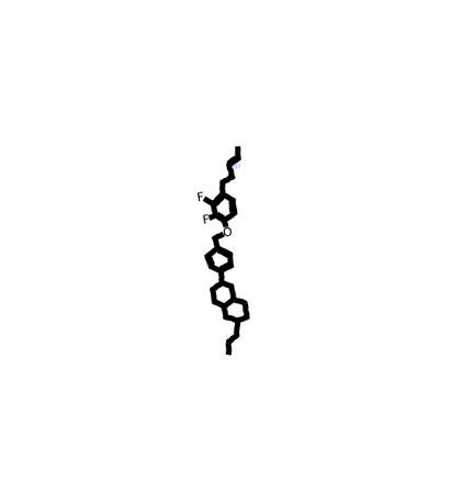 C/C=C/CCc1ccc(OCc2ccc(C3CCC4CC(CCC)CCC4C3)cc2)c(F)c1F